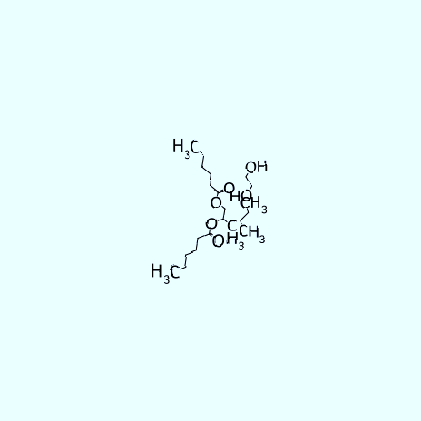 CCCC.CCCCCC(=O)OCC(C)OC(=O)CCCCC.OCCO